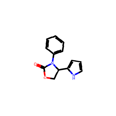 O=C1OCC(c2ccc[nH]2)N1c1ccccc1